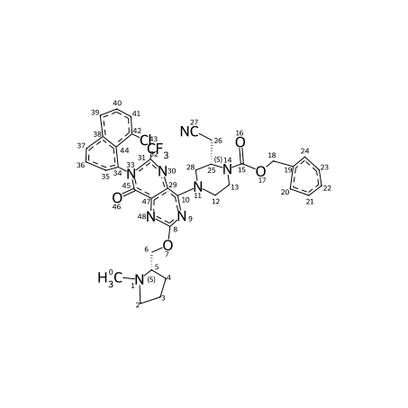 CN1CCC[C@H]1COc1nc(N2CCN(C(=O)OCc3ccccc3)[C@@H](CC#N)C2)c2nc(C(F)(F)F)n(-c3cccc4cccc(Cl)c34)c(=O)c2n1